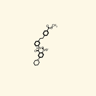 COC(=O)c1ccc(CCc2cccc(NC(=O)c3cc(N4CCCCC4)ccc3[N+](=O)[O-])c2)cc1